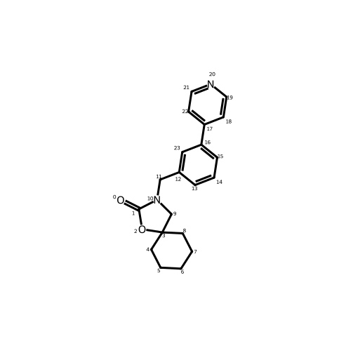 O=C1OC2(CCCCC2)CN1Cc1cccc(-c2ccncc2)c1